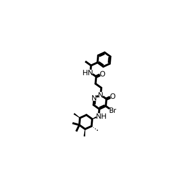 CC(NC(=O)CCn1ncc(N[C@@H]2C[C@H](C)C(C)(C)[C@H](C)[C@H]2C)c(Br)c1=O)c1ccccc1